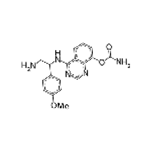 COc1ccc(C(CN)Nc2ncnc3c(OC(N)=O)cccc23)cc1